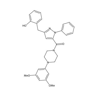 COc1cc(OC)cc(N2CCN(C(=O)c3cc(Cc4ccccc4O)nn3-c3ccccc3)CC2)c1